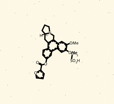 COc1cc2c3c(c4ccc(OC(=O)c5ccco5)cc4c2cc1OC)C[C@@H]1CCCN1C3.CS(=O)(=O)O